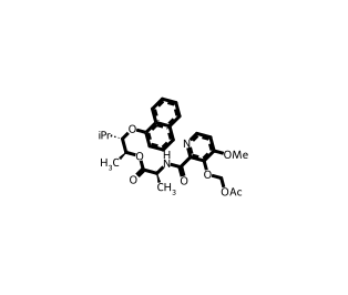 COc1ccnc(C(=O)N[C@@H](C)C(=O)O[C@@H](C)[C@@H](Oc2cccc3ccccc23)C(C)C)c1OCOC(C)=O